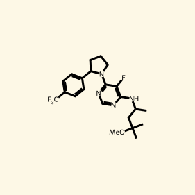 COC(C)(C)CC(C)Nc1ncnc(N2CCCC2c2ccc(C(F)(F)F)cc2)c1F